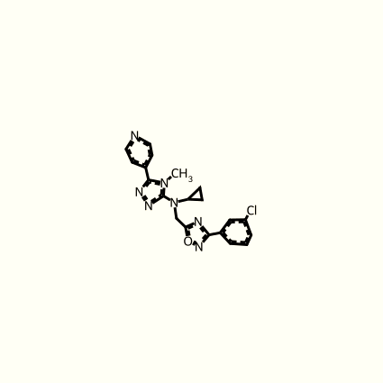 Cn1c(-c2ccncc2)nnc1N(Cc1nc(-c2cccc(Cl)c2)no1)C1CC1